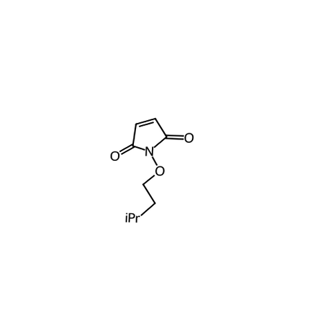 CC(C)CCON1C(=O)C=CC1=O